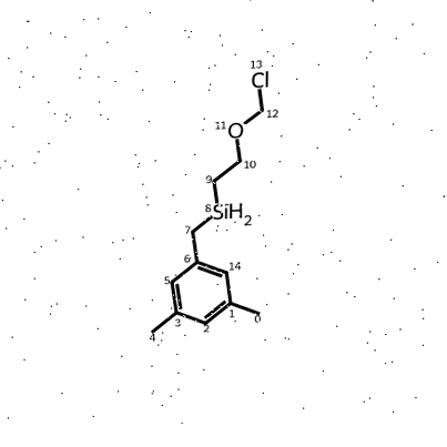 Cc1cc(C)cc(C[SiH2]CCOCCl)c1